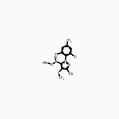 CCCCON(C(C)=O)c1c(SC(F)(F)F)c(C#N)nn1-c1c(Cl)cc(C(F)(F)F)cc1Cl